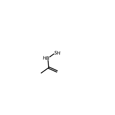 C=C(C)BS